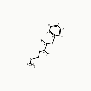 CCCCC(F)C(F)Cc1ccccc1